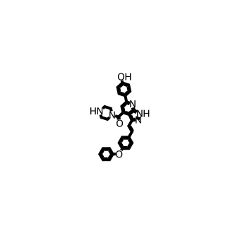 O=C(c1cc(-c2ccc(O)cc2)nc2[nH]nc(C=Cc3ccc(Oc4ccccc4)cc3)c12)N1CCNCC1